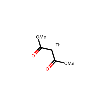 COC(=O)CC(=O)OC.[Tl]